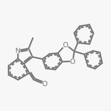 CC1=Nc2cccc(=C=O)c2=C1c1ccc2c(c1)OC(c1ccccc1)(c1ccccc1)O2